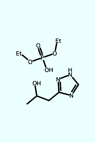 CC(O)Cc1nc[nH]n1.CCOP(=O)(O)OCC